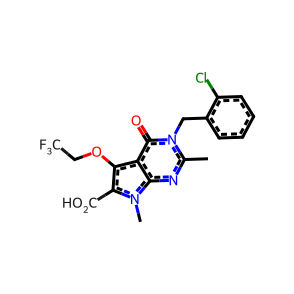 Cc1nc2c(c(OCC(F)(F)F)c(C(=O)O)n2C)c(=O)n1Cc1ccccc1Cl